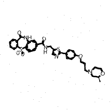 C[C@H]1CN(CCCOc2ccc(-c3ncc(CNC(=O)c4ccc5c(c4)NC(=O)c4ccccc4S5(=O)=O)s3)cc2)CCO1